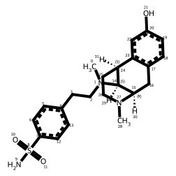 CN(CCc1ccc(S(N)(=O)=O)cc1)[C@@H]1[C@H]2Cc3ccc(O)cc3[C@@H]1CCN2C